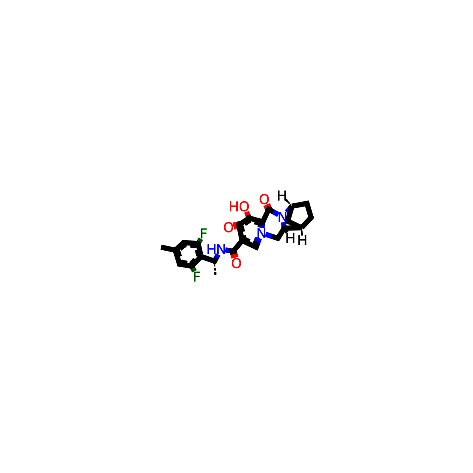 Cc1cc(F)c([C@@H](C)NC(=O)c2cn3c(c(O)c2=O)C(=O)N2[C@H]4CC[C@H](C4)[C@@H]2C3)c(F)c1